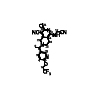 CC(c1ccc(OCC(F)(F)F)nc1)N1CCc2c(NCC#N)nc(Cl)c(C#N)c2C1